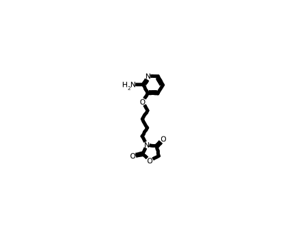 Nc1ncccc1OCCCCN1C(=O)COC1=O